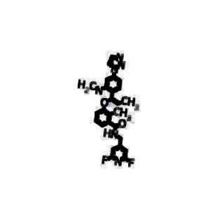 C=Nc1cc(-n2ccnn2)ccc1/C(=C\C)Oc1cccc(C(=O)NCc2cc(F)nc(F)c2)c1C